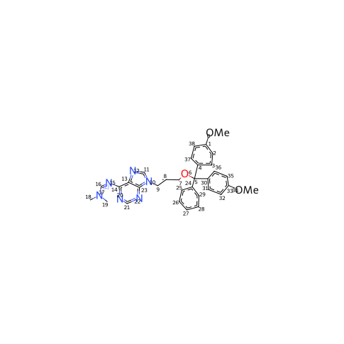 COc1ccc(C(OC[CH]Cn2cnc3c(/N=C\N(C)C)ncnc32)(c2ccccc2)c2ccc(OC)cc2)cc1